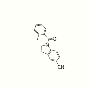 Cc1ccccc1C(=O)N1CCc2cc(C#N)ccc21